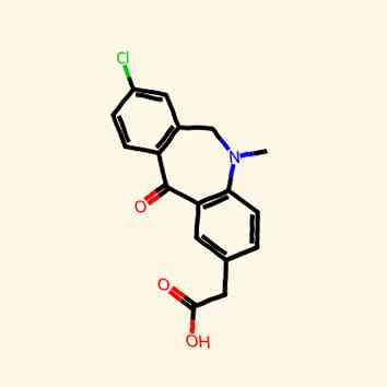 CN1Cc2cc(Cl)ccc2C(=O)c2cc(CC(=O)O)ccc21